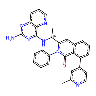 Cc1cc(-c2cccc3cc([C@H](C)Nc4nc(N)nc5cccnc45)n(-c4ccccc4)c(=O)c23)ccn1